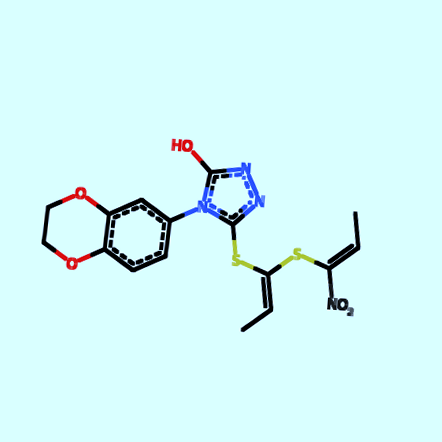 C/C=C(/S/C(=C\C)[N+](=O)[O-])Sc1nnc(O)n1-c1ccc2c(c1)OCCO2